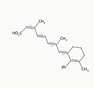 CC1=C(C(C)C)/C(=C/C(C)=C/C=C/C(C)=C\C(=O)O)CCC1